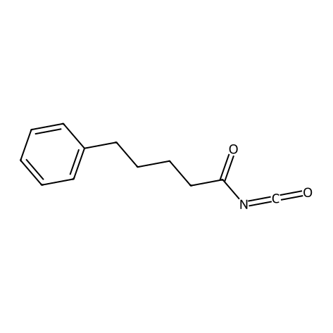 O=C=NC(=O)CCCCc1ccccc1